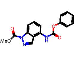 COC(=O)n1ncc2c(NC(=O)Oc3ccccc3)cccc21